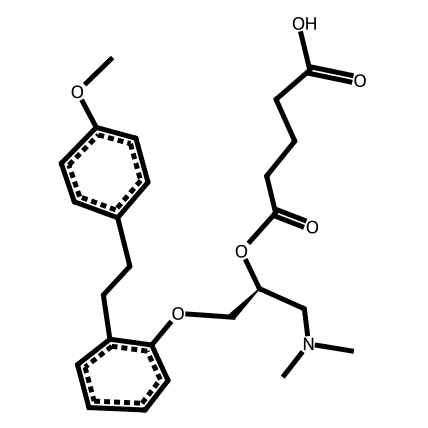 COc1ccc(CCc2ccccc2OC[C@H](CN(C)C)OC(=O)CCCC(=O)O)cc1